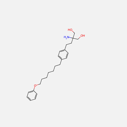 NC(CO)(CO)CCc1ccc(CCCCCCCOc2ccccc2)cc1